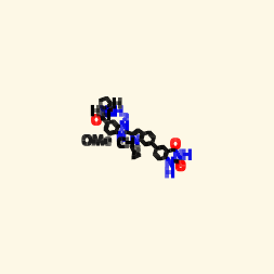 COc1cc(C(=O)N2C[C@H]3CC[C@@H]2[C@@H]3N)cc2nc(-c3cc4ccc(-c5ccc6[nH]c(=O)[nH]c(=O)c6c5)cc4n3CC3CC3)n(C)c12